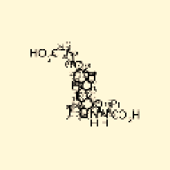 C=C(C)[C@@H]1CC[C@]2(NC(=O)N[C@@H](C(=O)O)C(C)C)CC[C@]3(C)[C@H](CC[C@@H]4[C@@]5(C)CC[C@H](OC(=O)CC(C)(C)CC(=O)O)C(C)(C)[C@@H]5CC[C@]43C)[C@@H]12